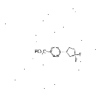 O=C(O)c1ccc([C@@H]2CCC(F)(F)C2)cc1